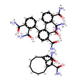 NC(=O)c1ccc2c(C(N)=O)c1CCCCCC2.NC(=O)c1cccc(-c2ccc(C(N)=O)c(C(N)=O)c2-c2cccc(C(N)=O)c2C(N)=O)c1C(N)=O